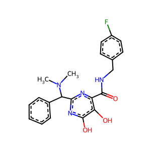 CN(C)C(c1ccccc1)c1nc(O)c(O)c(C(=O)NCc2ccc(F)cc2)n1